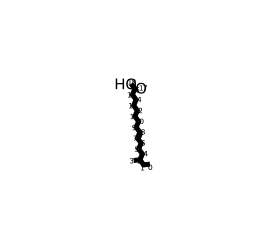 CCC(C)CCCC=CCCCCCCCC(=O)O